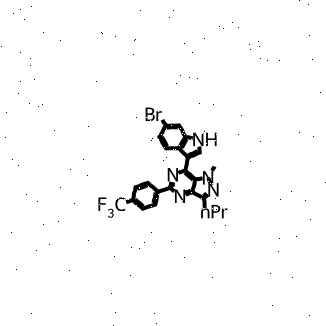 CCCc1nn(C)c2c(-c3c[nH]c4cc(Br)ccc34)nc(-c3ccc(C(F)(F)F)cc3)nc12